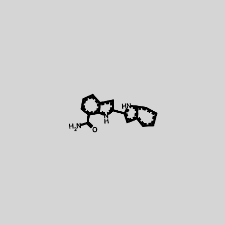 NC(=O)c1cccc2cc(-c3cc4ccccc4[nH]3)[nH]c12